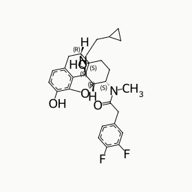 CN(C(=O)Cc1ccc(F)c(F)c1)[C@H]1CC[C@@]2(O)[C@H]3Cc4ccc(O)c5c4[C@@]2(CCN3CC2CC2)[C@H]1O5